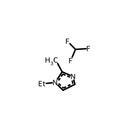 CCn1ccnc1C.FC(F)F